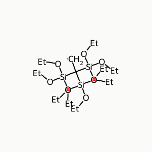 [CH2]C([Si](OCC)(OCC)OCC)([Si](OCC)(OCC)OCC)[Si](OCC)(OCC)OCC